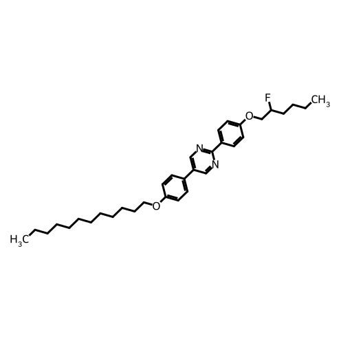 CCCCCCCCCCCCOc1ccc(-c2cnc(-c3ccc(OCC(F)CCCC)cc3)nc2)cc1